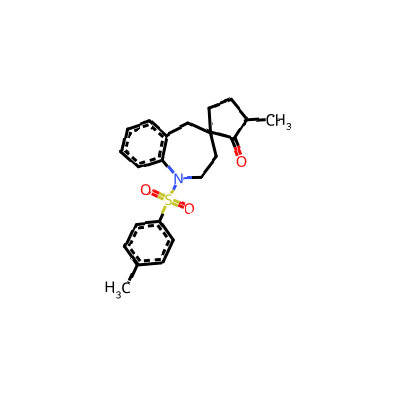 Cc1ccc(S(=O)(=O)N2CCC3(CCC(C)C3=O)Cc3ccccc32)cc1